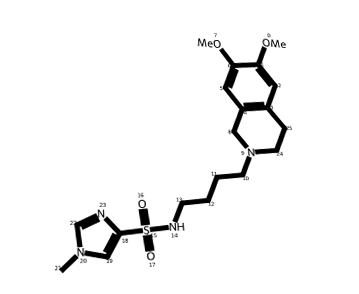 COc1cc2c(cc1OC)CN(CCCCNS(=O)(=O)c1cn(C)cn1)CC2